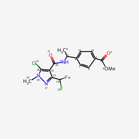 COC(=O)c1ccc(C(C)NC(=O)c2c(C(F)F)nn(C)c2Cl)cc1